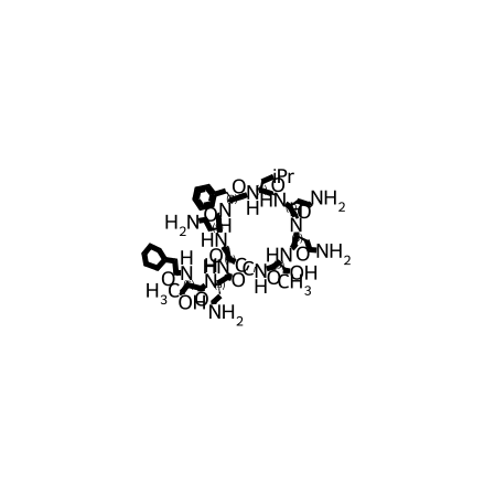 CC(C)C[C@@H]1NC(=O)[C@@H](Cc2ccccc2)NC(=O)[C@H](CCN)NC(=O)[C@@H](NC(=O)[C@H](CCN)NC(=O)[C@@H](NC(=O)CC2CCCCC2)C(C)O)CCNC(=O)[C@H](C(C)O)NC(=O)[C@H](CCN)NC(=O)[C@H](CCN)NC1=O